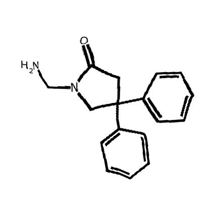 NCN1CC(c2ccccc2)(c2ccccc2)CC1=O